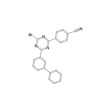 N#Cc1ccc(-c2nc(Br)nc(-c3cccc(-c4ccccc4)c3)n2)cc1